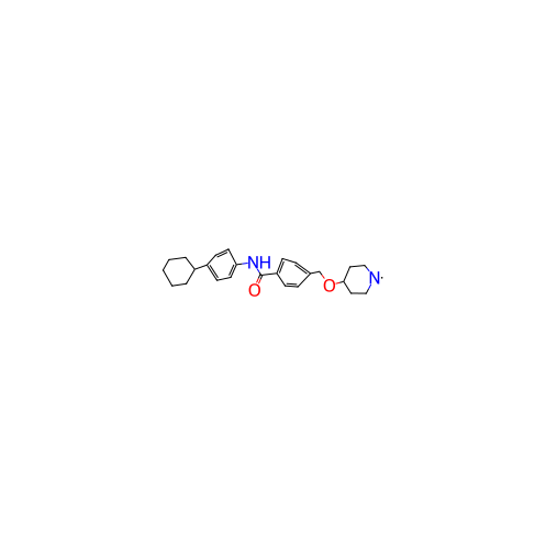 O=C(Nc1ccc(C2CCCCC2)cc1)c1ccc(COC2CC[N]CC2)cc1